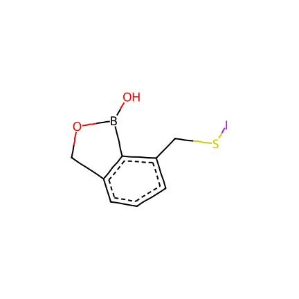 OB1OCc2cccc(CSI)c21